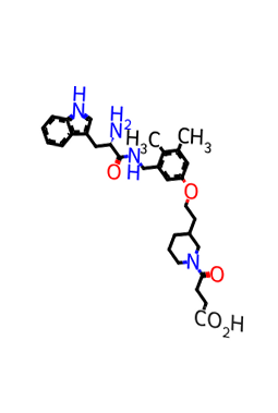 Cc1cc(OCCC2CCCN(C(=O)CCC(=O)O)C2)cc(CNC(=O)[C@@H](N)Cc2c[nH]c3ccccc23)c1C